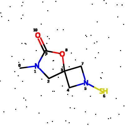 CN1CC2(CN(S)C2)OC1=O